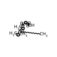 CCCCCCCCCCCCCCOC(C)N(Cc1ccccc1C)Cc1ccccc1C.O=[N+]([O-])c1cccc(S(=O)(=O)O)c1